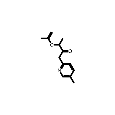 C=C(C)OC(C)C(=O)Cc1ccc(C)cn1